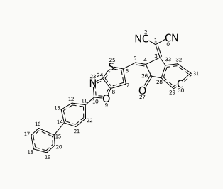 N#CC(C#N)=C1/C(=C/c2cc3oc(-c4ccc(-c5ccccc5)cc4)nc3s2)C(=O)c2ccccc21